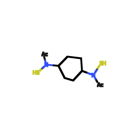 CC(=O)N(S)C1CCC(N(S)C(C)=O)CC1